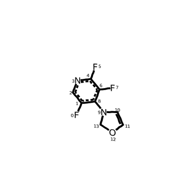 Fc1cnc(F)c(F)c1N1C=COC1